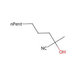 CCCCCCCCC(C)(O)C#N